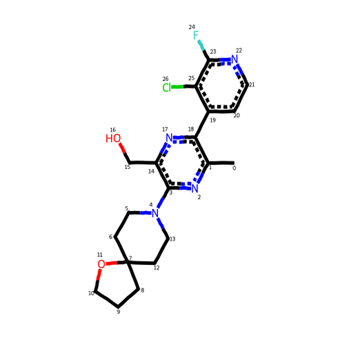 Cc1nc(N2CCC3(CCCO3)CC2)c(CO)nc1-c1ccnc(F)c1Cl